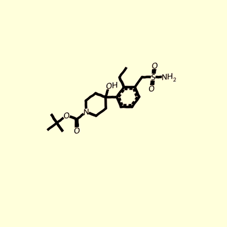 CCc1c(CS(N)(=O)=O)cccc1C1(O)CCN(C(=O)OC(C)(C)C)CC1